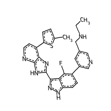 CCNCc1cncc(-c2ccc3[nH]nc(-c4nc5c(-c6ccc(C)s6)ccnc5[nH]4)c3c2F)c1